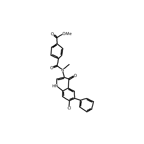 COC(=O)c1ccc(C(=O)N(C)c2c[nH]c3cc(Cl)c(-c4ccccc4)cc3c2=O)cc1